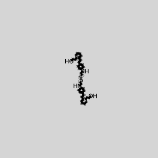 OCC[n+]1ccccc1/C=C/c1ccc(NCCSSCCNc2ccc(/C=C/c3cccc[n+]3CCO)cc2)cc1